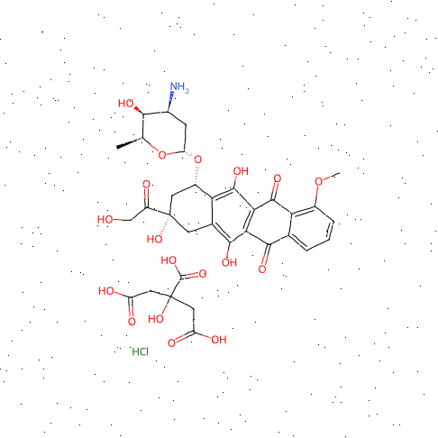 COc1cccc2c1C(=O)c1c(O)c3c(c(O)c1C2=O)C[C@@](O)(C(=O)CO)C[C@@H]3O[C@H]1C[C@H](N)[C@H](O)[C@H](C)O1.Cl.O=C(O)CC(O)(CC(=O)O)C(=O)O